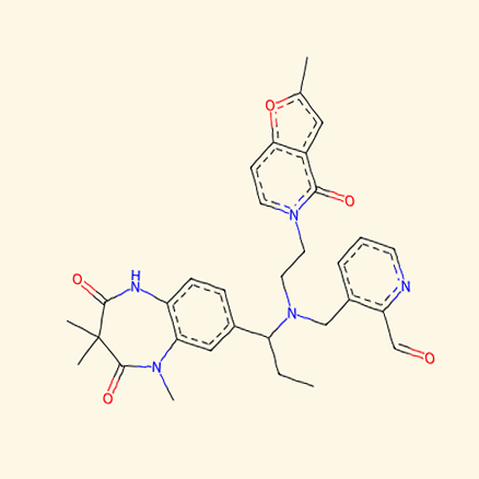 CCC(c1ccc2c(c1)N(C)C(=O)C(C)(C)C(=O)N2)N(CCn1ccc2oc(C)cc2c1=O)Cc1cccnc1C=O